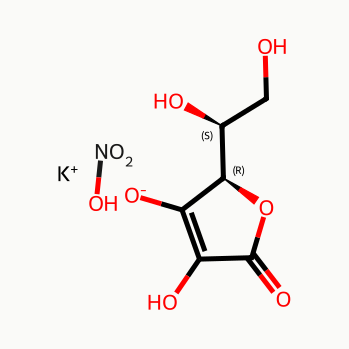 O=C1O[C@H]([C@@H](O)CO)C([O-])=C1O.O=[N+]([O-])O.[K+]